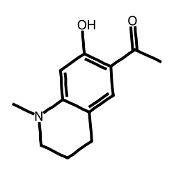 CC(=O)c1cc2c(cc1O)N(C)CCC2